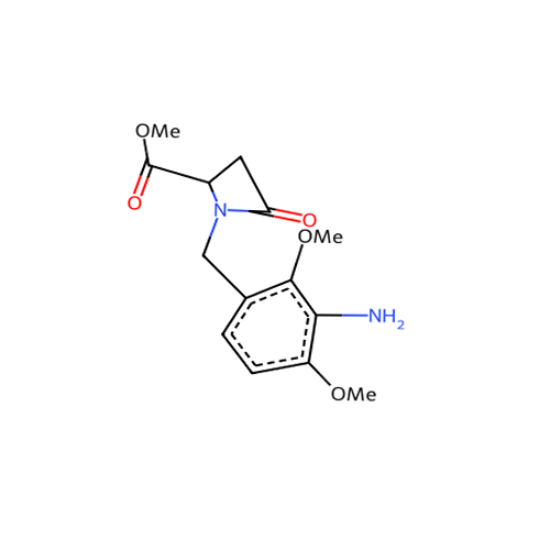 COC(=O)C1CC(=O)N1Cc1ccc(OC)c(N)c1OC